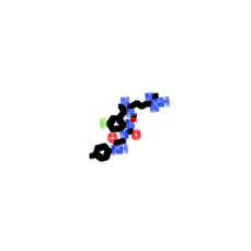 Cc1ccc(NC(=O)Cn2c(=O)n(C)c3c(-c4cnc(CCc5nc[nH]n5)n4C)cc(F)cc32)cc1